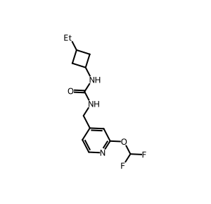 CCC1CC(NC(=O)NCc2ccnc(OC(F)F)c2)C1